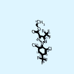 CCOC(=O)c1nn(-c2c(Cl)cc(C(F)(F)F)cc2Cl)nc1C(F)(F)F